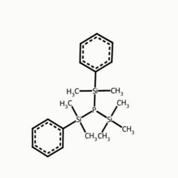 C[Si](C)(C)P([Si](C)(C)c1ccccc1)[Si](C)(C)c1ccccc1